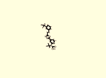 CC(C)(C)N(C(=O)O)c1cc(-c2nnc(CCc3cccc(C(F)(F)F)c3)o2)ccn1